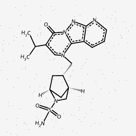 CC(C)c1cn(C[C@H]2C[C@H]3C[C@@H]2CN3S(N)(=O)=O)c2c3cccnc3nn2c1=O